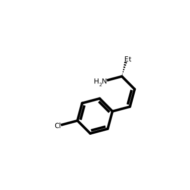 CC[C@@H](N)/C=C\c1ccc(Cl)cc1